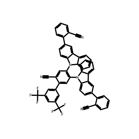 N#Cc1ccccc1-c1ccc2c(c1)c1ccccc1n2-c1cc(C#N)c(-c2cc(C(F)(F)F)cc(C(F)(F)F)c2)cc1-n1c2ccccc2c2cc(-c3ccccc3C#N)ccc21